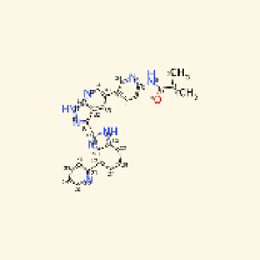 CC(C)C(=O)Nc1ccc(-c2cnc3[nH]nc(-c4nc5c(-c6ccccn6)cccc5[nH]4)c3c2)cn1